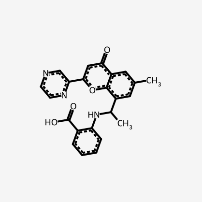 Cc1cc(C(C)Nc2ccccc2C(=O)O)c2oc(-c3cnccn3)cc(=O)c2c1